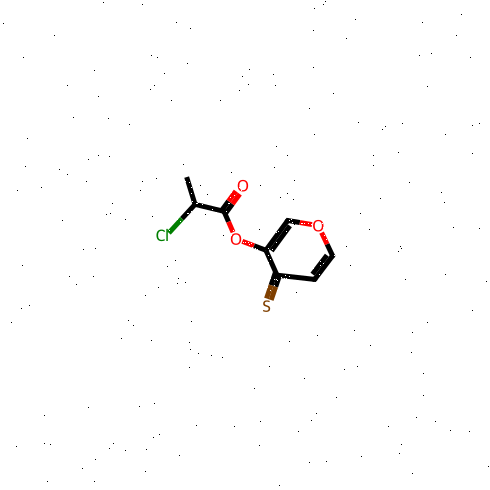 CC(Cl)C(=O)Oc1coccc1=S